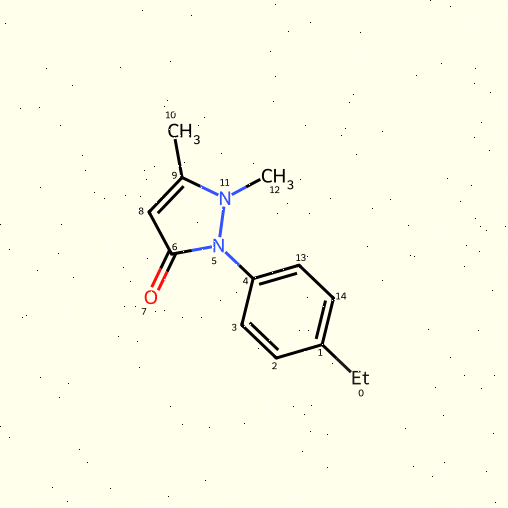 CCc1ccc(-n2c(=O)cc(C)n2C)cc1